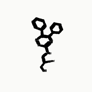 OCC(O)CNc1nnc(-c2ccccc2)c(-c2ccccc2)n1